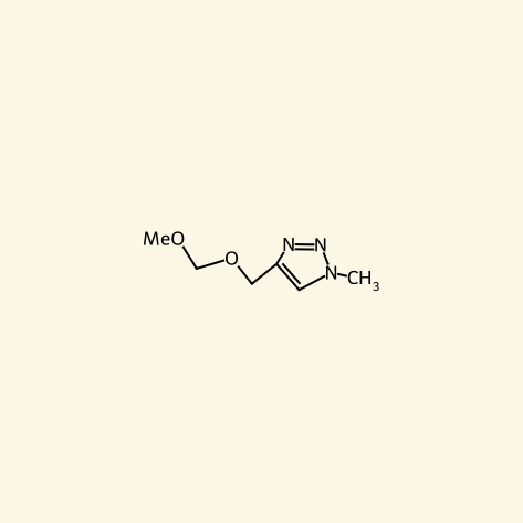 COCOCc1cn(C)nn1